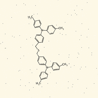 Cc1ccc(N(c2ccc(C)cc2)c2ccc(CSCc3ccc(N(c4ccc(C)cc4)c4ccc(C)cc4)cc3)cc2)cc1